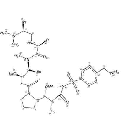 CC[C@H](C)[C@@H]([C@@H](CC(=O)N1CCC[C@H]1[C@H](OC)[C@@H](C)C(=O)NS(=O)(=O)c1ccc(CN)cc1)OC)N(C)C(=O)[C@@H](NC[C@H](C(C)C)N(C)C)C(C)C